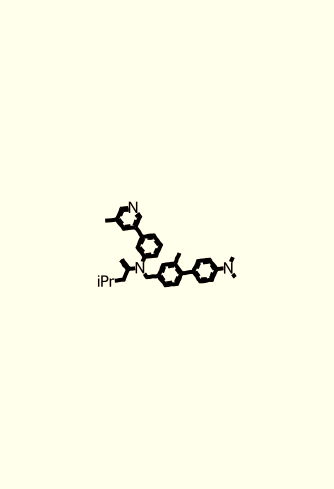 C=C(CC(C)C)N(Cc1ccc(-c2ccc(N(C)C)cc2)c(C)c1)c1cccc(-c2cncc(C)c2)c1